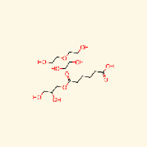 O=C(O)CCCCC(=O)OCC(O)CO.OCCO.OCCOCCO